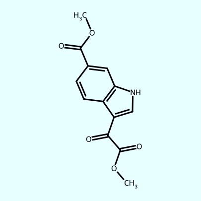 COC(=O)C(=O)c1c[nH]c2cc(C(=O)OC)ccc12